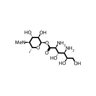 CN[C@H]1[C@H](O)[C@@H](O)[C@@H](OC(=O)[C@@H](N)[C@@H](O)[C@@H](N)[C@H](O)CO)O[C@@H]1C